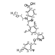 COCCn1c(Cc2c(F)cc(-c3csnc3OCc3ccc(C)cc3F)cc2F)nc2ccc(C(=O)O)cc21